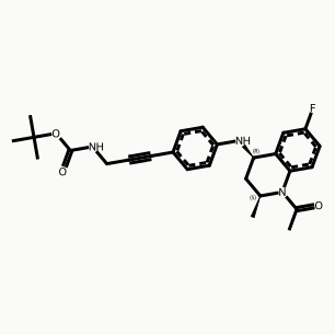 CC(=O)N1c2ccc(F)cc2[C@H](Nc2ccc(C#CCNC(=O)OC(C)(C)C)cc2)C[C@@H]1C